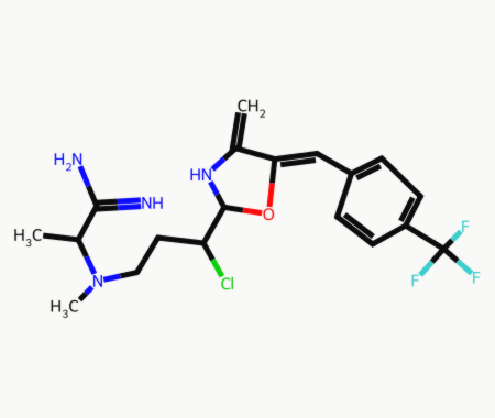 C=C1NC(C(Cl)CCN(C)C(C)C(=N)N)O/C1=C\c1ccc(C(F)(F)F)cc1